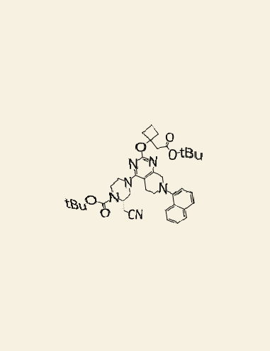 CC(C)(C)OC(=O)CC1(Oc2nc3c(c(N4CCN(C(=O)OC(C)(C)C)[C@@H](CC#N)C4)n2)CCN(c2cccc4ccccc24)C3)CCC1